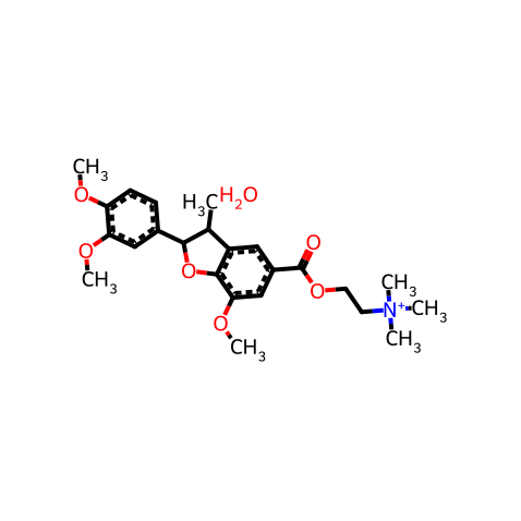 COc1ccc(C2Oc3c(OC)cc(C(=O)OCC[N+](C)(C)C)cc3C2C)cc1OC.O